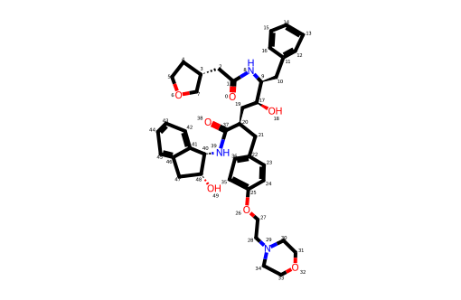 O=C(C[C@H]1CCOC1)N[C@@H](Cc1ccccc1)[C@@H](O)C[C@@H](Cc1ccc(OCCN2CCOCC2)cc1)C(=O)N[C@H]1c2ccccc2C[C@H]1O